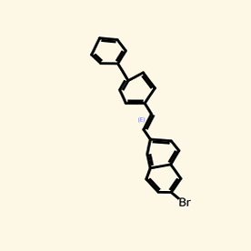 Brc1ccc2cc(/C=C/c3ccc(-c4ccccc4)cc3)ccc2c1